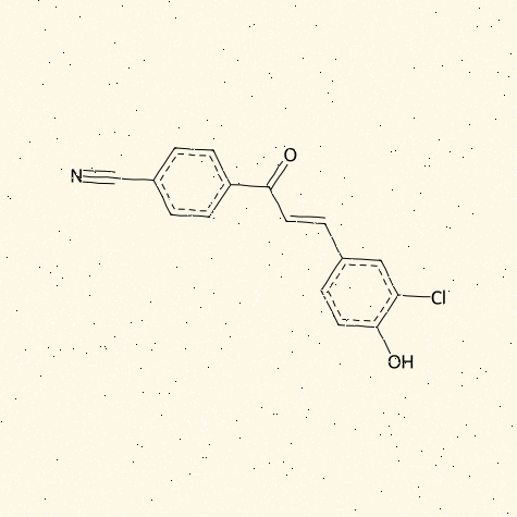 N#Cc1ccc(C(=O)/C=C/c2ccc(O)c(Cl)c2)cc1